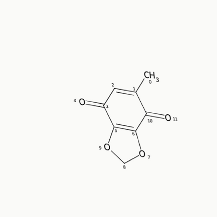 CC1=CC(=O)C2=C(OCO2)C1=O